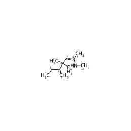 CC[C@H](C)C(C)(C)/C=C(/C)NC